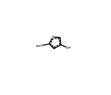 COc1cc(O)co1